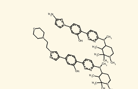 CC1C(N(C)c2ccc(-c3ccc(-c4cnn(CCN5CCOCC5)c4)cc3O)nn2)CCN(C)C1(C)C.CC1C(N(C)c2ccc(-c3ccc(-n4ccc(N)n4)cc3O)nn2)CCN(C)C1(C)C